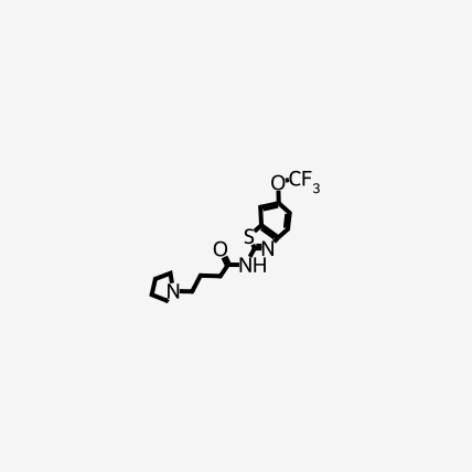 O=C(CCCN1CCCC1)Nc1nc2ccc(OC(F)(F)F)cc2s1